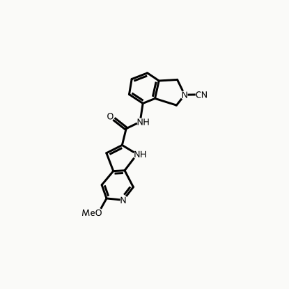 COc1cc2cc(C(=O)Nc3cccc4c3CN(C#N)C4)[nH]c2cn1